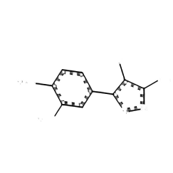 CCc1c(-c2ccc(OC)c(OC)c2)n[nH]c1C(C)(C)C